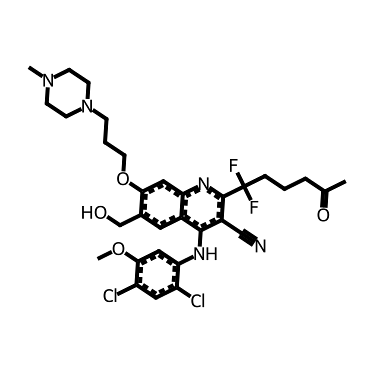 COc1cc(Nc2c(C#N)c(C(F)(F)CCCC(C)=O)nc3cc(OCCCN4CCN(C)CC4)c(CO)cc23)c(Cl)cc1Cl